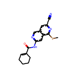 CSc1nc(C#N)cc2cnc(NC(=O)C3=CCCCC3)cc12